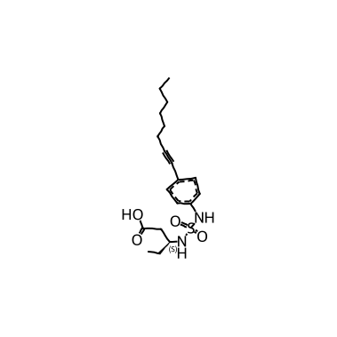 CCCCCCC#Cc1ccc(NS(=O)(=O)N[C@@H](CC)CC(=O)O)cc1